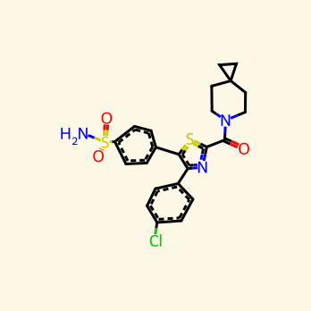 NS(=O)(=O)c1ccc(-c2sc(C(=O)N3CCC4(CC3)CC4)nc2-c2ccc(Cl)cc2)cc1